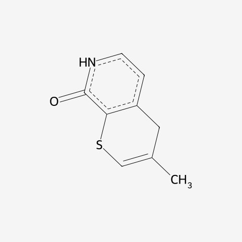 CC1=CSc2c(cc[nH]c2=O)C1